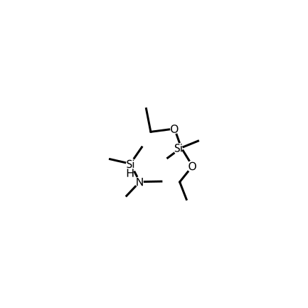 CCO[Si](C)(C)OCC.CN(C)[SiH](C)C